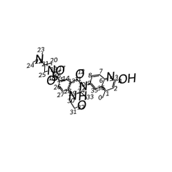 Cc1cc(O)nc2ccc(NC(=O)c3cc(S(=O)(=O)N4CC(N(C)C)C4)ccc3N3CCOCC3)cc12